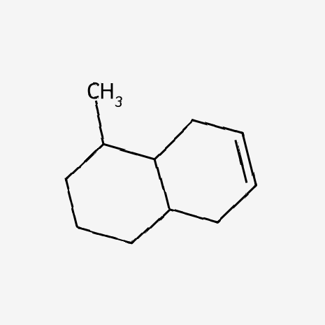 CC1CCCC2CC=CCC12